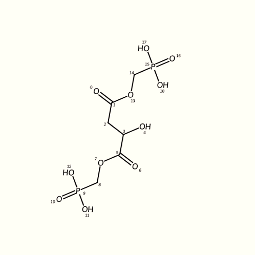 O=C(CC(O)C(=O)OCP(=O)(O)O)OCP(=O)(O)O